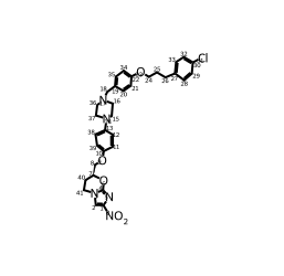 O=[N+]([O-])c1cn2c(n1)O[C@H](COc1ccc(N3CCN(Cc4ccc(OCCCc5ccc(Cl)cc5)cc4)CC3)cc1)CC2